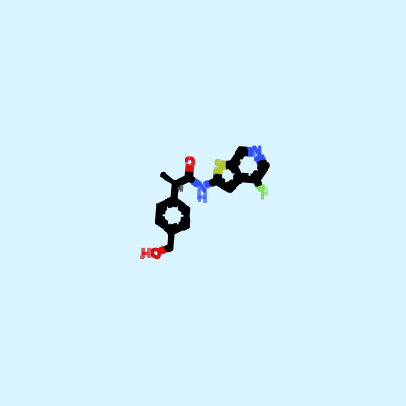 C[C@@H](C(=O)Nc1cc2c(F)cncc2s1)c1ccc(CO)cc1